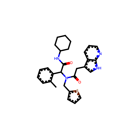 Cc1ccccc1C(C(=O)NC1CCCCC1)N(Cc1cccs1)C(=O)Cc1c[nH]c2ncccc12